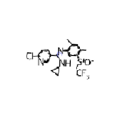 Cc1cc(C)c([S+]([O-])CC(F)(F)F)cc1/N=C(\NC1CC1)c1ccc(Cl)nc1